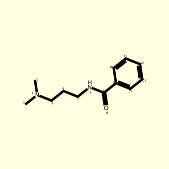 CN(C)CCCNC(=O)c1[c]cccc1